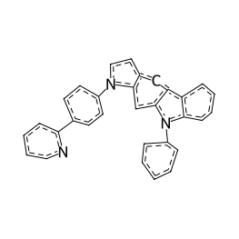 c1ccc(-n2c3ccccc3c3cc4ccn(-c5ccc(-c6ccccn6)cc5)c4cc32)cc1